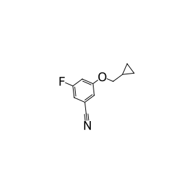 N#Cc1cc(F)cc(OCC2CC2)c1